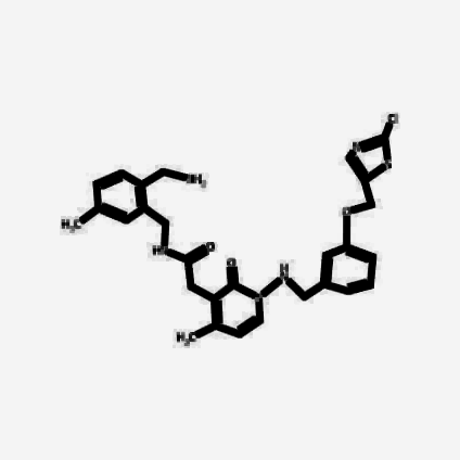 Cc1ccc(CN)c(CNC(=O)Cc2c(C)ccn(NCc3cccc(OCc4cnc(Cl)s4)c3)c2=O)c1